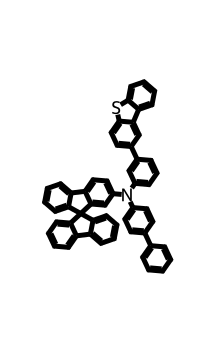 c1ccc(-c2ccc(N(c3cccc(-c4ccc5sc6ccccc6c5c4)c3)c3ccc4c(c3)C3(c5ccccc5-c5ccccc53)c3ccccc3-4)cc2)cc1